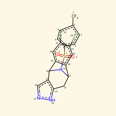 O=S(=O)(c1ccc(C(F)(F)F)cc1)N1C2Cc3[nH]ncc3C1c1cc(F)c(F)cc12